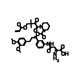 C=CC(=O)OCC(C)(C)C(=O)C(=O)N1CCCC[C@H]1C(=O)O[C@H](CCc1ccc(OC)c(OC)c1)c1cccc(NC(=O)C[C@H](N)C(=O)O)c1